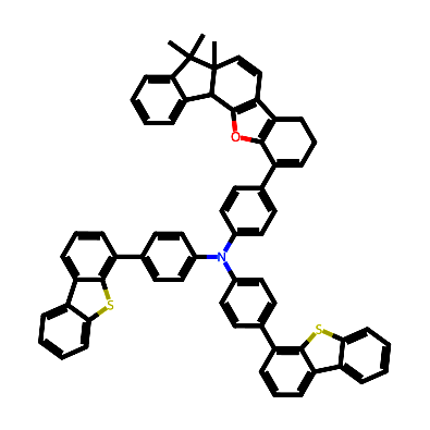 CC1(C)c2ccccc2C2c3oc4c(c3C=CC21C)CCC=C4c1ccc(N(c2ccc(-c3cccc4c3sc3ccccc34)cc2)c2ccc(-c3cccc4c3sc3ccccc34)cc2)cc1